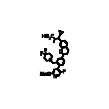 COc1cc(-c2ccc(C3CCc4ccc(C(C5CC5)[C@H](C)C(=O)O)cc4O3)cc2CN2CCC(F)(F)CC2)c(F)cn1